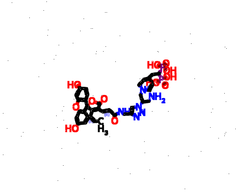 C/C=C\C1=C(/C=C/C(=O)NCc2cn(C(CN)C[n+]3ccc(CC(P(=O)(O)O)P(=O)(O)O)cc3)nn2)C(=O)OC12c1ccc(O)cc1Oc1cc(O)ccc12